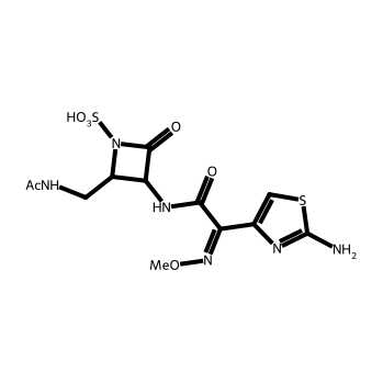 CON=C(C(=O)NC1C(=O)N(S(=O)(=O)O)C1CNC(C)=O)c1csc(N)n1